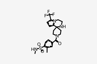 CNS(=O)(=O)c1ccc(C(=O)N2CCC3(CC2)NCCn2c(C(F)(F)F)ccc23)cc1C